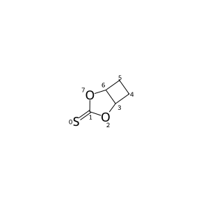 S=C1OC2CCC2O1